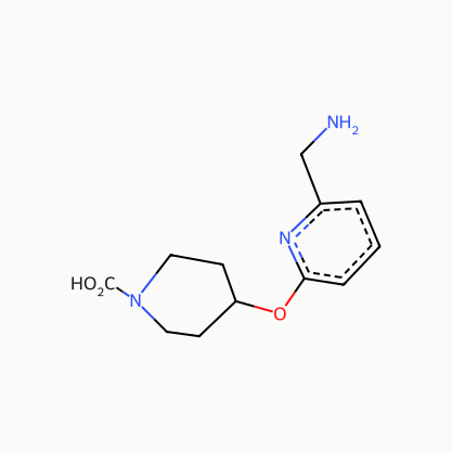 NCc1cccc(OC2CCN(C(=O)O)CC2)n1